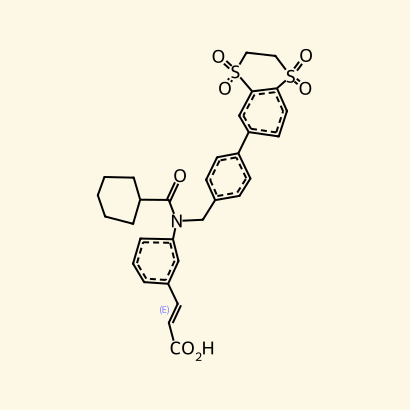 O=C(O)/C=C/c1cccc(N(Cc2ccc(-c3ccc4c(c3)S(=O)(=O)CCS4(=O)=O)cc2)C(=O)C2CCCCC2)c1